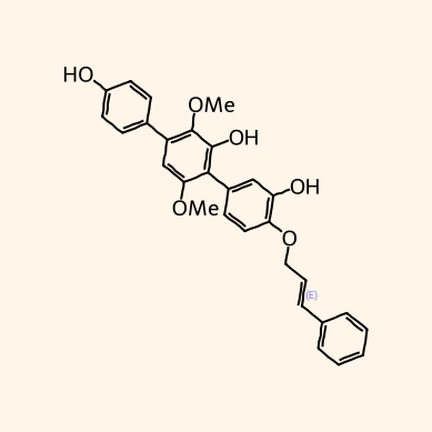 COc1cc(-c2ccc(O)cc2)c(OC)c(O)c1-c1ccc(OC/C=C/c2ccccc2)c(O)c1